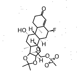 CC1(C)O[C@@H]2C[C@H]3[C@@H]4C[C@H](F)C5=CC(=O)CC[C@]5(C)[C@H]4[C@@H](O)C[C@]3(C)[C@]2(C(=O)COS(C)(=O)=O)O1